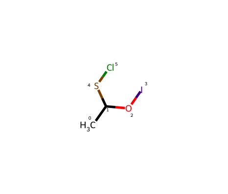 CC(OI)SCl